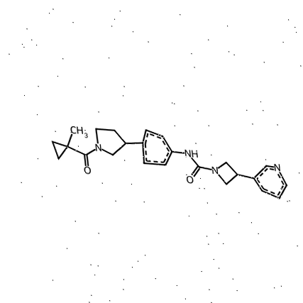 CC1(C(=O)N2CCC(c3ccc(NC(=O)N4CC(c5cccnc5)C4)cc3)C2)CC1